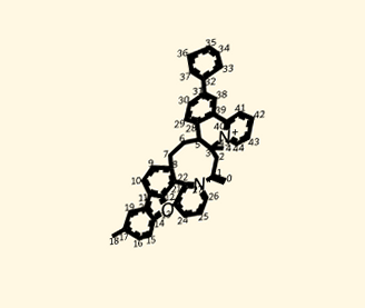 C=C1CC2(C)C(CCc3ccc4c(oc5ccc(C)cc54)c3-c3cccc[n+]31)c1ccc(-c3ccccc3)cc1-c1cccc[n+]12